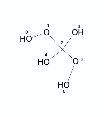 OOC(O)(O)OO